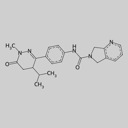 CC(C)C1CC(=O)N(C)N=C1c1ccc(NC(=O)N2Cc3cccnc3C2)cc1